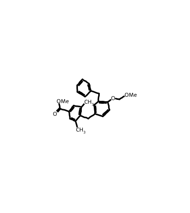 COCOc1ccc(Cc2c(C)cc(C(=O)OC)cc2C)cc1Cc1ccccc1